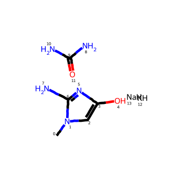 Cn1cc(O)nc1N.NC(N)=O.[KH].[NaH]